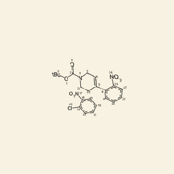 CC(C)(C)OC(=O)N1CC=C(c2ccccc2[N+](=O)[O-])CC1.O=[N+]([O-])c1ccccc1Cl